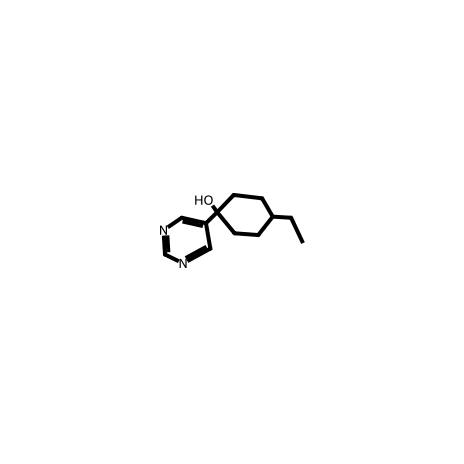 CCC1CCC(O)(c2cncnc2)CC1